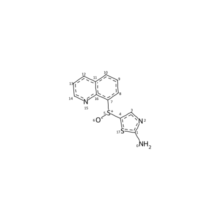 Nc1ncc([S+]([O-])c2cccc3cccnc23)s1